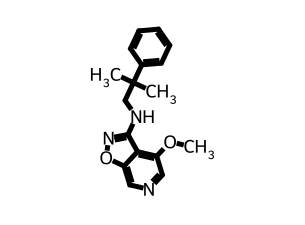 COc1cncc2onc(NCC(C)(C)c3ccccc3)c12